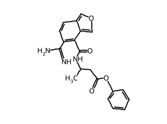 CC(CC(=O)Oc1ccccc1)NC(=O)c1c(C(=N)N)ccc2cocc12